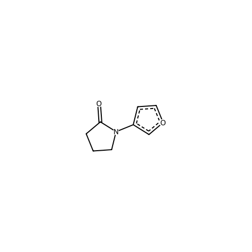 O=C1CCCN1c1ccoc1